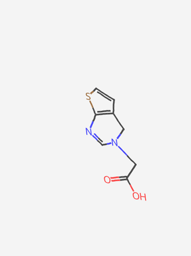 O=C(O)CN1C=Nc2sccc2C1